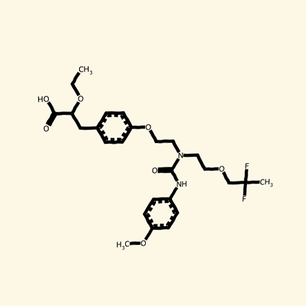 CCOC(Cc1ccc(OCCN(CCOCC(C)(F)F)C(=O)Nc2ccc(OC)cc2)cc1)C(=O)O